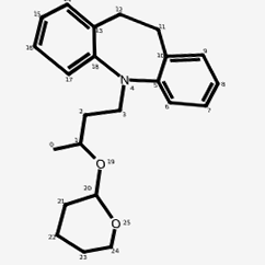 CC(CCN1c2ccccc2CCc2ccccc21)OC1CCCCO1